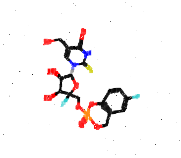 O=c1[nH]c(=S)n([C@@H]2O[C@](F)(COP3(=O)OCc4cc(F)ccc4O3)[C@@H](O)[C@H]2O)cc1CO